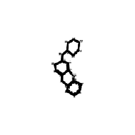 C1=C2Cc3ccccc3SC2=CC(CC2CCCCC2)C1